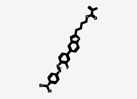 C=C(C)C(=O)OCCCCc1cc2cc(-c3ccc(/N=N/c4ccc(N(CC)CC)cc4)c(F)c3)ccc2s1